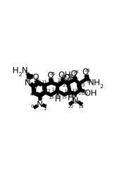 CN(C)c1cc2nc(N)oc2c2c1C[C@H]1C[C@H]3[C@H](N(C)C)C(O)=C(C(N)=O)C(=O)C3(O)C(O)=C1C2=O